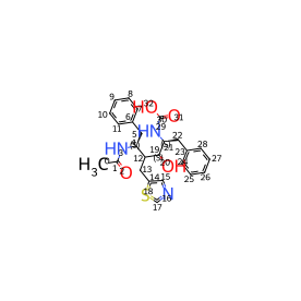 CC(=O)N[C@@H](Cc1ccccc1)C(Cc1cncs1)[C@H](O)[C@H](Cc1ccccc1)NC(=O)O